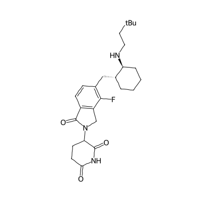 CC(C)(C)CCN[C@H]1CCCC[C@@H]1Cc1ccc2c(c1F)CN(C1CCC(=O)NC1=O)C2=O